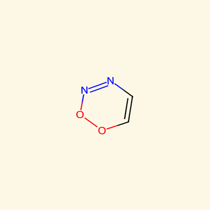 C1=COON=N1